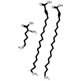 CCCCCCCCCCCCCCCCCC#CC(=O)O.CCCCCCCCCCCCCCCCCC#CC(=O)O.NCCCC[C@H](N)C(=O)O